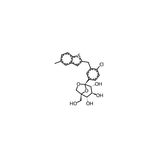 Cc1ccc2sc(Cc3cc([C@]45OC[C@](CO)(O4)[C@@H](O)[C@H](O)[C@H]5O)ccc3Cl)cc2c1